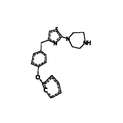 c1ccc(Oc2ccc(Cc3csc(N4CCNCC4)n3)cc2)cc1